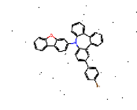 Brc1ccc(-c2ccc3c(c2)-c2ccccc2-c2ccccc2N3c2ccc3c(c2)oc2ccccc23)cc1